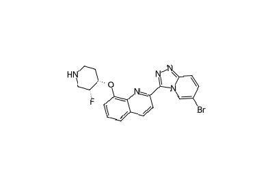 F[C@@H]1CNCC[C@@H]1Oc1cccc2ccc(-c3nnc4ccc(Br)cn34)nc12